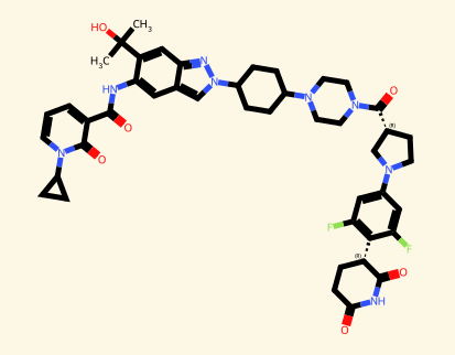 CC(C)(O)c1cc2nn(C3CCC(N4CCN(C(=O)[C@@H]5CCN(c6cc(F)c([C@H]7CCC(=O)NC7=O)c(F)c6)C5)CC4)CC3)cc2cc1NC(=O)c1cccn(C2CC2)c1=O